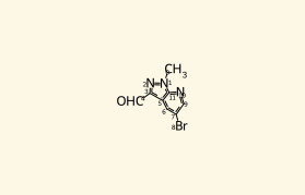 Cn1nc(C=O)c2cc(Br)cnc21